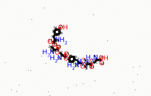 C[C@@H](OC(=O)[C@@H](N)Cc1ccc(OC(=O)[C@@H](N)COC(=O)[C@@H](N)[C@@H](C)OC(=O)[C@@H](N)Cc2ccc(O)cc2)cc1)[C@H](N)C(=O)OC[C@H](N)C(=O)O